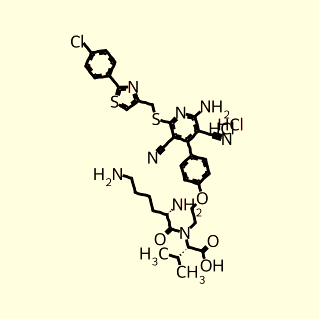 CC(C)[C@@H](C(=O)O)N(CCOc1ccc(-c2c(C#N)c(N)nc(SCc3csc(-c4ccc(Cl)cc4)n3)c2C#N)cc1)C(=O)[C@@H](N)CCCCN.Cl.Cl